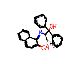 C[C@@H](N=C1C(O)=CC=C2C=CC=CC21)C(O)(c1ccccc1)c1ccccc1